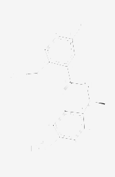 CC(C)COCc1ccc(Cl)cc1C(=O)N[C@@H](C)c1ccc(C(=O)O)cc1